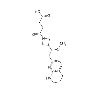 COC(Cc1ccc2c(n1)NCCC2)C1CN(C(=O)CCC(=O)O)C1